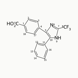 O=C(O)c1ccc(-c2nc(C(F)(F)F)[nH]c2-c2ccccc2)cc1